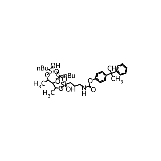 CCCC[Si]1(O)OC(C)C2O[Si](CCCC)(O1)O[Si](O)(CCCNC(=O)Oc1ccc(C(C)(C)c3ccccc3)cc1)OC2C